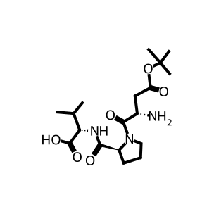 CC(C)[C@H](NC(=O)[C@@H]1CCCN1C(=O)[C@@H](N)CC(=O)OC(C)(C)C)C(=O)O